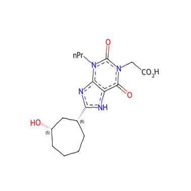 CCCn1c(=O)n(CC(=O)O)c(=O)c2[nH]c([C@@H]3CCCC[C@H](O)C3)nc21